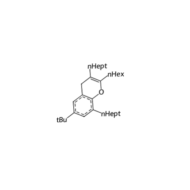 CCCCCCCC1=C(CCCCCC)Oc2c(CCCCCCC)cc(C(C)(C)C)cc2C1